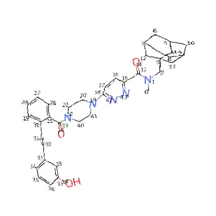 CN(CC12CC3CC(CC(C3)C1)C2)C(=O)c1ccc(N2CCN(C(=O)c3ccccc3C#Cc3cccc(O)c3)CC2)nn1